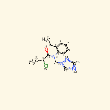 CCc1ccccc1N(Cn1cncn1)C(=O)C(C)Cl